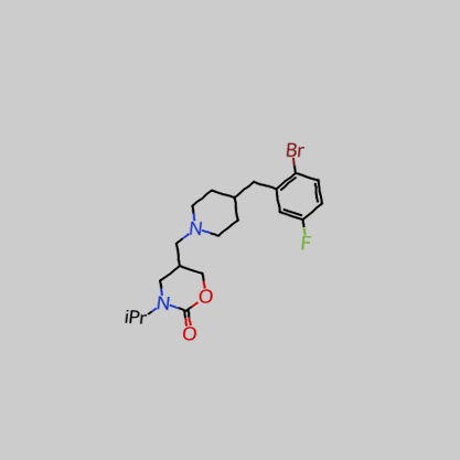 CC(C)N1CC(CN2CCC(Cc3cc(F)ccc3Br)CC2)COC1=O